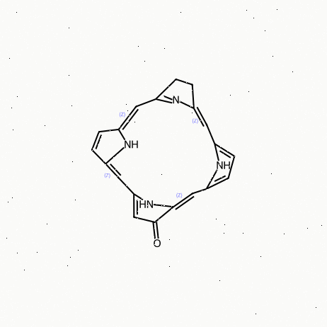 O=C1C=C2/C=c3/cc/c([nH]3)=C/C3=NC(=C\c4ccc([nH]4)/C=C/1N2)/CC3